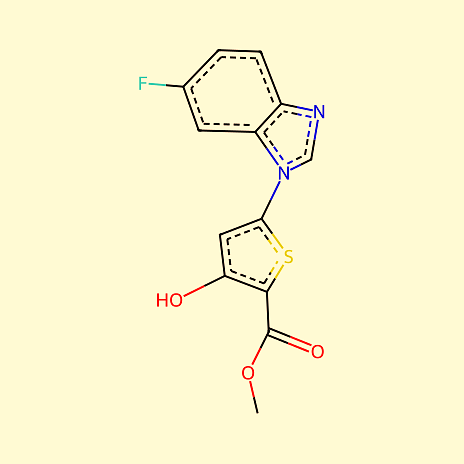 COC(=O)c1sc(-n2cnc3ccc(F)cc32)cc1O